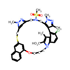 Cc1nn(C)c2c1-c1c(Cl)ccc3c1c(C)c(C(=O)O)n3CCCOc1cc(cc3ccccc13)SCc1cc(nn1C)CN(S(C)(=O)=O)C2